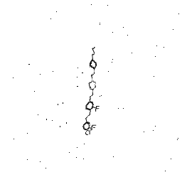 CCCCc1ccc(CCC2CCC(CCc3ccc(CCc4ccc(Cl)c(F)c4)c(F)c3)CC2)cc1